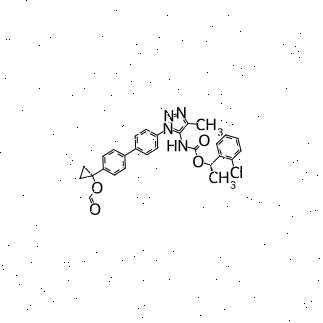 Cc1nnn(-c2ccc(-c3ccc(C4(OC=O)CC4)cc3)cc2)c1NC(=O)O[C@H](C)c1ccccc1Cl